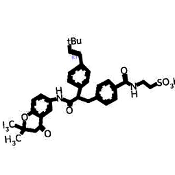 CC(C)(C)/C=C/c1ccc(C(Cc2ccc(C(=O)NCCS(=O)(=O)O)cc2)C(=O)Nc2ccc3c(c2)C(=O)CC(C)(C)O3)cc1